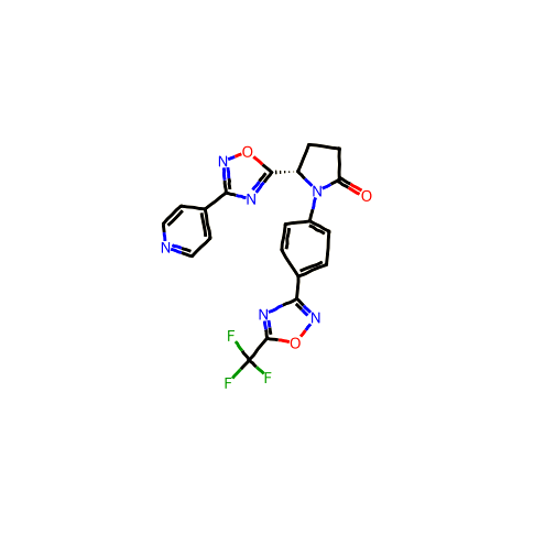 O=C1CC[C@@H](c2nc(-c3ccncc3)no2)N1c1ccc(-c2noc(C(F)(F)F)n2)cc1